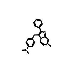 Cc1ccn2c(Cc3ccc(N(C)C)cc3)c(-c3ccccc3)nc2c1